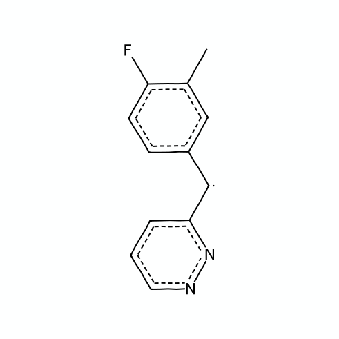 Cc1cc([CH]c2cccnn2)ccc1F